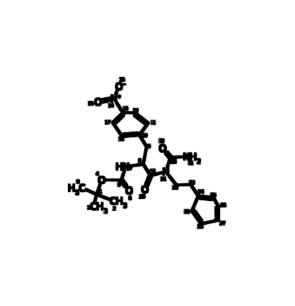 CC(C)(C)OC(=O)NC(Cc1ccc([N+](=O)[O-])cc1)C(=O)N(CCc1ccccc1)C(N)=O